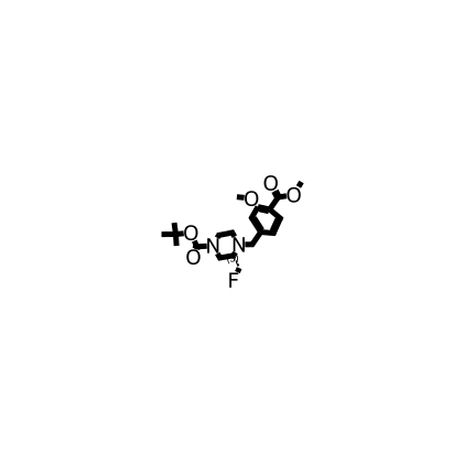 COC(=O)c1ccc(CN2CCN(C(=O)OC(C)(C)C)C[C@H]2CF)cc1OC